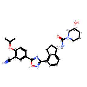 CC(C)Oc1ccc(-c2nc(-c3cccc4c3CC[C@@H]4NC(=O)N3CCC[C@@H](O)C3)no2)cc1C#N